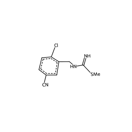 CSC(=N)NCc1cc(C#N)ccc1Cl